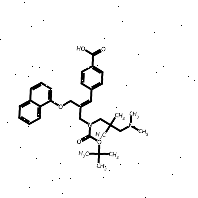 CN(C)CC(C)(C)CN(CC(=Cc1ccc(C(=O)O)cc1)COc1cccc2ccccc12)C(=O)OC(C)(C)C